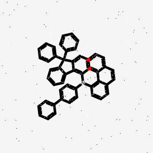 c1ccc(-c2ccc(N(c3cccc4c3-c3ccccc3C4(c3ccccc3)c3ccccc3)c3cccc4ccc5ccccc5c34)cc2)cc1